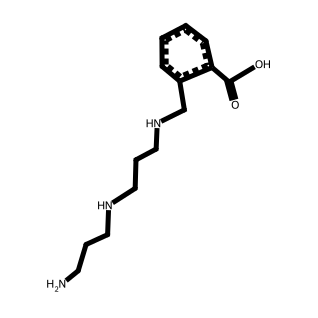 NCCCNCCCNCc1ccccc1C(=O)O